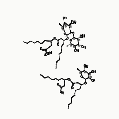 CCCCCCCC(CC(=O)O)OC(=O)CC(CCCCCCC)OC1O[C@@H](C)[C@H](O)[C@@H](O)[C@H]1O.CCCCCCCC(CC(=O)O)OC(=O)CC(CCCCCCC)O[C@@H]1O[C@@H](C)[C@H](O)[C@@H](O)[C@H]1O[C@@H]1O[C@@H](C)[C@H](O)[C@@H](O)[C@H]1O